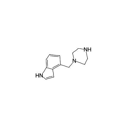 c1cc(CN2CCNCC2)c2cc[nH]c2c1